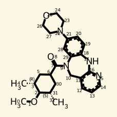 COC1[C@H](C)CC(C(=O)N2Cc3cccnc3Nc3ccc(N4CCOCC4)cc32)C[C@@H]1C